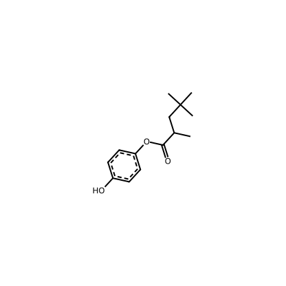 CC(CC(C)(C)C)C(=O)Oc1ccc(O)cc1